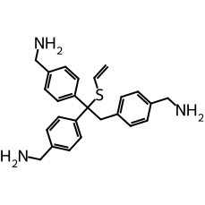 C=CSC(Cc1ccc(CN)cc1)(c1ccc(CN)cc1)c1ccc(CN)cc1